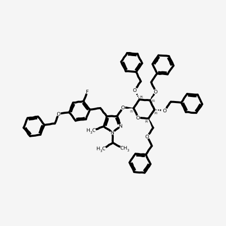 Cc1c(Cc2ccc(OCc3ccccc3)cc2F)c(O[C@@H]2O[C@H](COCc3ccccc3)[C@@H](OCc3ccccc3)[C@H](OCc3ccccc3)[C@H]2OCc2ccccc2)nn1C(C)C